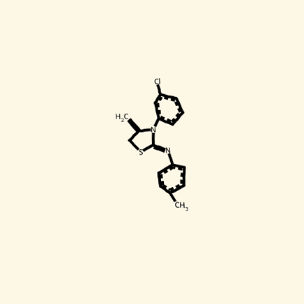 C=C1CS/C(=N\c2ccc(C)cc2)N1c1cccc(Cl)c1